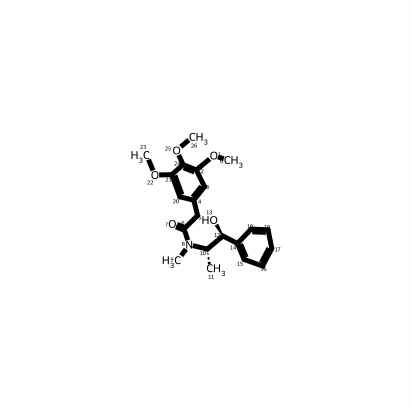 COc1cc(CC(=O)N(C)[C@@H](C)[C@@H](O)c2ccccc2)cc(OC)c1OC